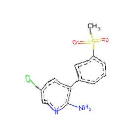 CS(=O)(=O)c1cccc(-c2cc(Cl)cnc2N)c1